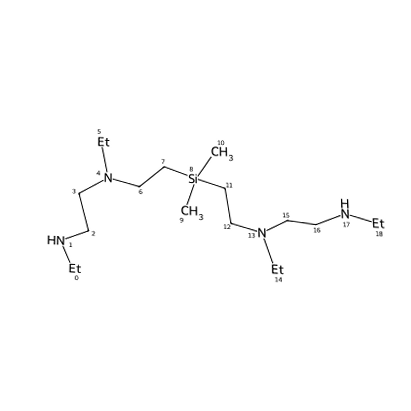 CCNCCN(CC)CC[Si](C)(C)CCN(CC)CCNCC